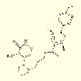 N#Cc1ccc(N2C[C@H]3C[C@@H]2CN3C(=O)CCOCC2CCCN2c2cn[nH]c(=O)c2C(F)(F)F)nc1